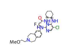 COCCN1CCc2ccc(Nc3ncc(Cl)c(N[C@@H]4CCCC[C@H]4NC(=O)C(F)(F)F)n3)cc2CC1